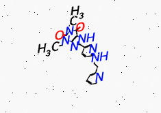 CCn1c(=O)c2[nH]c(-c3ccc(NCCc4ccccn4)nc3)nc2n(CC)c1=O